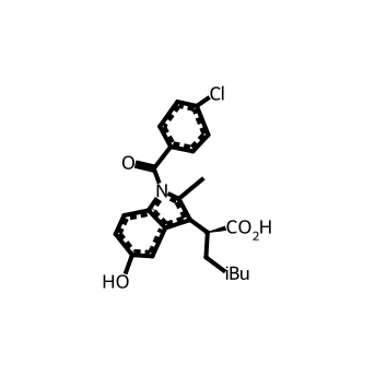 CCC(C)C[C@H](C(=O)O)c1c(C)n(C(=O)c2ccc(Cl)cc2)c2ccc(O)cc12